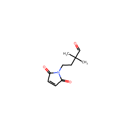 CC(C)(C=O)CCN1C(=O)C=CC1=O